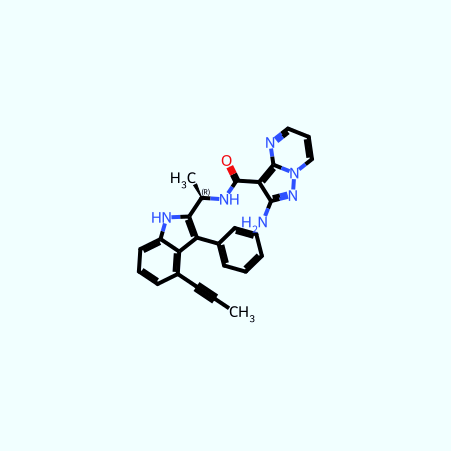 CC#Cc1cccc2[nH]c([C@@H](C)NC(=O)c3c(N)nn4cccnc34)c(-c3ccccc3)c12